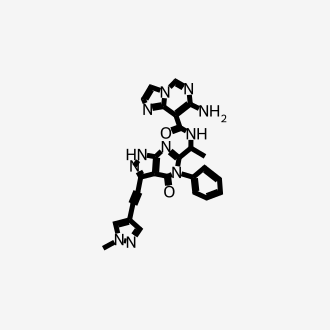 CC(NC(=O)c1c(N)ncn2ccnc12)c1nc2[nH]nc(C#Cc3cnn(C)c3)c2c(=O)n1-c1ccccc1